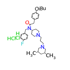 CC(C)COc1ccc(CC(=O)N(Cc2ccc(F)cc2)C2CCN(CCCN3CC(C)CC(C)C3)CC2)cc1.Cl.Cl